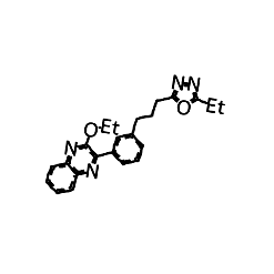 CCOc1nc2ccccc2nc1-c1cccc(CCCc2nnc(CC)o2)c1